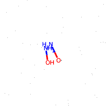 NO.N[O]